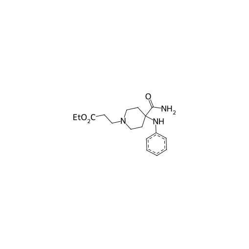 CCOC(=O)CCN1CCC(Nc2ccccc2)(C(N)=O)CC1